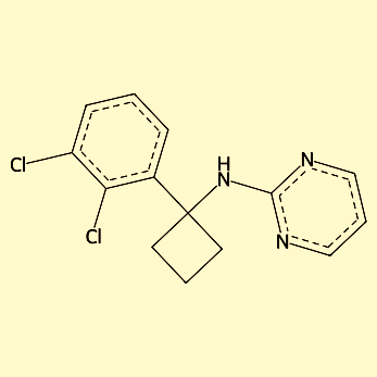 Clc1cccc(C2(Nc3ncccn3)CCC2)c1Cl